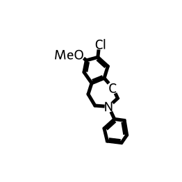 COc1cc2c(cc1Cl)CCN(c1ccccc1)CC2